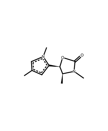 Cc1cc([C@H]2OC(=O)N(C)[C@H]2C)n(C)c1